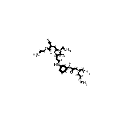 C=CCOC(=O)C(C#N)CC1SC(CCNc2cccc(NC(=O)CN(CC)CCOC)c2)C(=O)N1CC